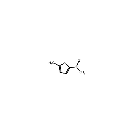 Cc1ccc([S+](C)[O-])s1